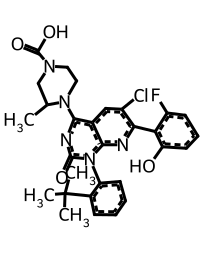 CC1CN(C(=O)O)CCN1c1nc(=O)n(-c2ccccc2C(C)(C)C)c2nc(-c3c(O)cccc3F)c(Cl)cc12